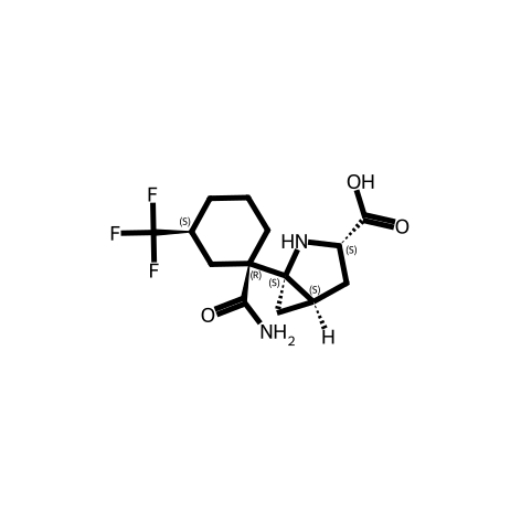 NC(=O)[C@]1([C@]23C[C@@H]2C[C@@H](C(=O)O)N3)CCC[C@H](C(F)(F)F)C1